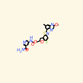 COc1cnc2c(-c3nc4cc(F)c5c(c4s3)CC(COC(=O)Nc3cncc(C(N)=O)c3)O5)cc(C)cc2n1